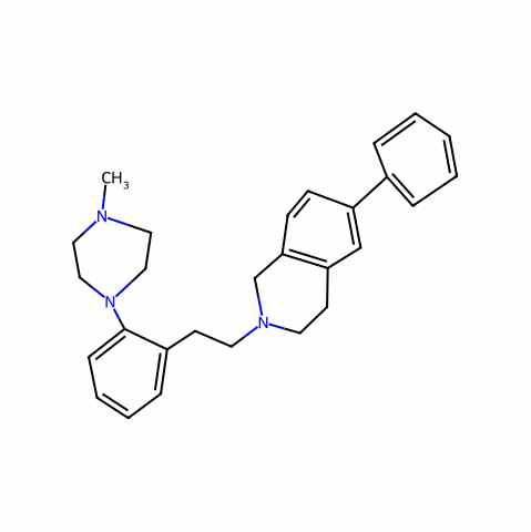 CN1CCN(c2ccccc2CCN2CCc3cc(-c4ccccc4)ccc3C2)CC1